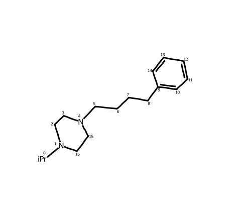 CC(C)N1CCN(CCCCc2ccccc2)CC1